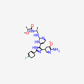 COC1=C(N)N=CC(c2nc(C3=CC=C(F)CC3)[nH]c2C2=CC=NC(NC[C@H](C)NC(=O)[C@H](C)OC)N2)C1